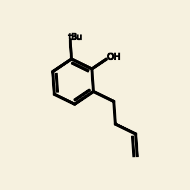 C=CCCc1cccc(C(C)(C)C)c1O